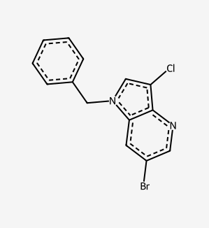 Clc1cn(Cc2ccccc2)c2cc(Br)cnc12